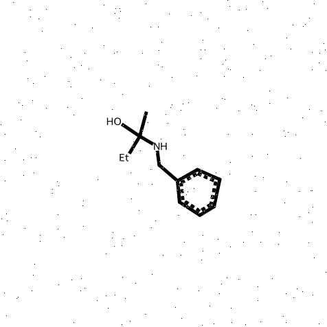 CCC(C)(O)NCc1ccccc1